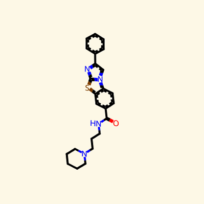 O=C(NCCCN1CCCCC1)c1ccc2c(c1)sc1nc(-c3ccccc3)cn12